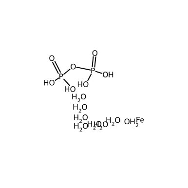 O.O.O.O.O.O.O.O.O=P(O)(O)OP(=O)(O)O.[Fe]